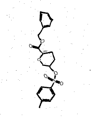 Cc1ccc(S(=O)(=O)OC2CC[C@H](C(=O)OCc3ccccc3)OC2)cc1